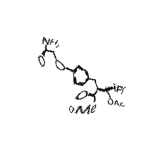 COC(=O)/C(Cc1ccc(OCC(N)=O)cc1)=C(\OC(C)=O)C(C)C